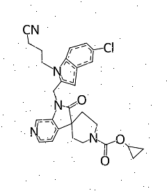 N#CCCCn1c(CN2C(=O)C3(CCN(C(=O)OC4CC4)CC3)c3ccncc32)cc2cc(Cl)ccc21